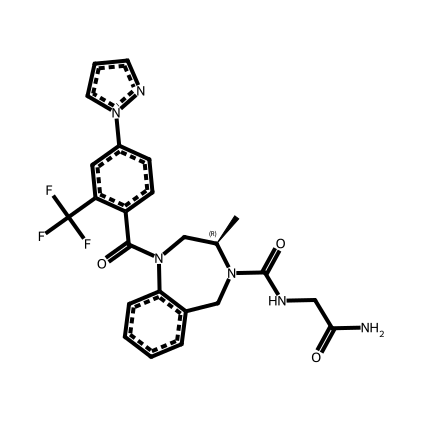 C[C@@H]1CN(C(=O)c2ccc(-n3cccn3)cc2C(F)(F)F)c2ccccc2CN1C(=O)NCC(N)=O